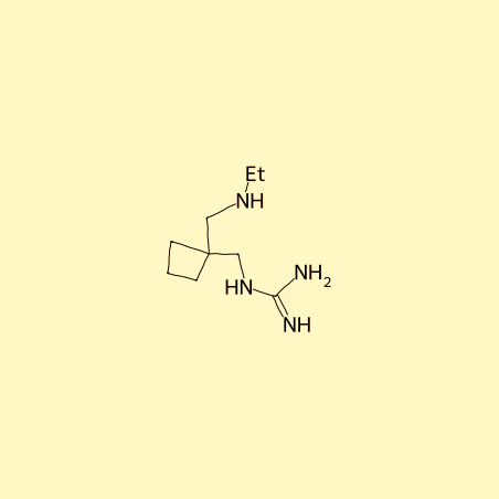 CCNCC1(CNC(=N)N)CCC1